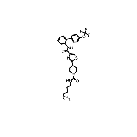 CCCCCNC(=O)N1CCC(c2nc(C(=O)Nc3ccccc3-c3ccc(OC(F)(F)F)cc3)cs2)CC1